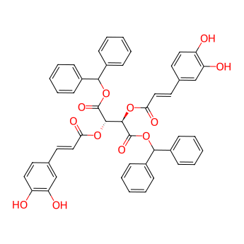 O=C(C=Cc1ccc(O)c(O)c1)O[C@H](C(=O)OC(c1ccccc1)c1ccccc1)[C@@H](OC(=O)C=Cc1ccc(O)c(O)c1)C(=O)OC(c1ccccc1)c1ccccc1